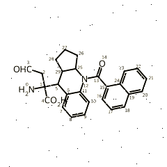 NC(CC=O)(C(=O)O)C1c2ccccc2N(C(=O)c2cccc3ccccc23)C2CCCC21